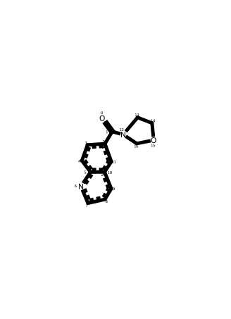 O=C(c1ccc2ncccc2c1)N1CCOC1